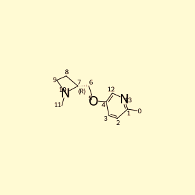 Cc1ccc(OC[C@H]2CCN2C)cn1